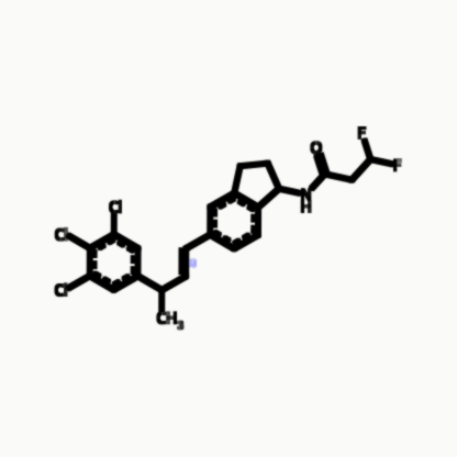 CC(/C=C/c1ccc2c(c1)CCC2NC(=O)CC(F)F)c1cc(Cl)c(Cl)c(Cl)c1